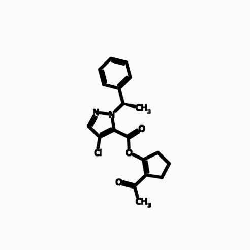 CC(=O)C1=C(OC(=O)c2c(Cl)cnn2[C@H](C)c2ccccc2)CCC1